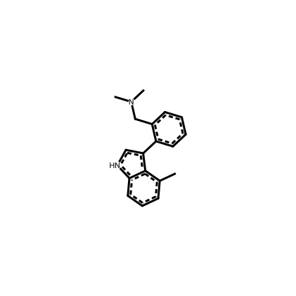 Cc1cccc2[nH]cc(-c3ccccc3CN(C)C)c12